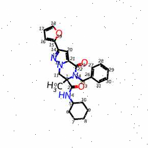 CC1(C(=O)NC2CCCCC2)Cn2nc(-c3ccco3)cc2C(=O)N1Cc1ccccc1